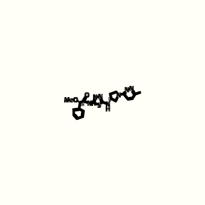 CO[C@H](C(=O)Nc1nnc(N[C@@H]2CCN(c3ccc(C)nn3)C2)s1)c1ccccc1